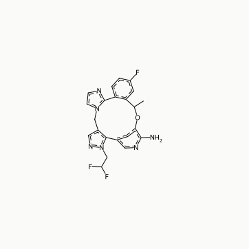 CC1Oc2cc(cnc2N)-c2c(cnn2CC(F)F)Cn2ccnc2-c2ccc(F)cc21